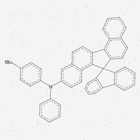 CC(C)(C)c1ccc(N(c2ccccc2)c2ccc3c4c(ccc3c2)-c2c(ccc3ccccc23)C42c3ccccc3-c3ccccc32)cc1